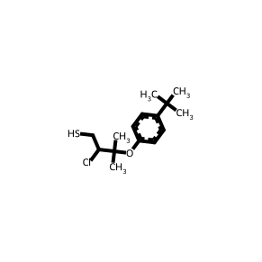 CC(C)(C)c1ccc(OC(C)(C)C(Cl)CS)cc1